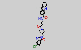 O=C(NCCCC(=O)N1CCC(Cn2cnc3cc(Cl)ccc3c2=O)CC1)c1ccc2c(Cl)c3c(nc2c1)CCCC3